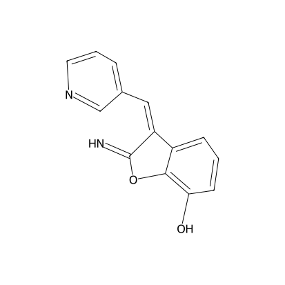 N=C1Oc2c(O)cccc2C1=Cc1cccnc1